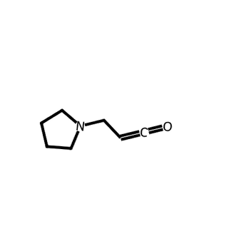 O=C=CCN1CCCC1